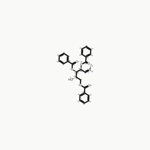 O=C(OC[C@H](O)[C@@H](OC(=O)c1ccccc1)[C@H](/C=N\I)OC(=O)c1ccccc1)c1ccccc1